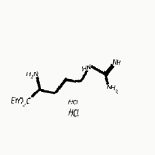 CCOC(=O)C(N)CCCNC(=N)N.Cl.Cl